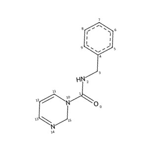 O=C(NCc1ccccc1)N1C=CC=NC1